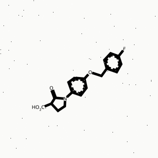 O=C(O)C1CCN(c2ccc(OCc3ccc(F)cc3)cc2)C1=O